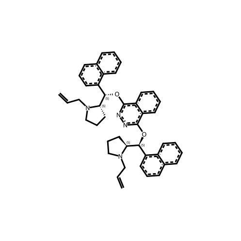 C=CCN1CCC[C@H]1[C@@H](Oc1nnc(O[C@@H](c2cccc3ccccc23)[C@@H]2CCCN2CC=C)c2ccccc12)c1cccc2ccccc12